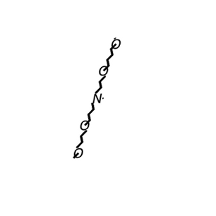 COCCCCOCCCC[N]CCCCOCCCCOC